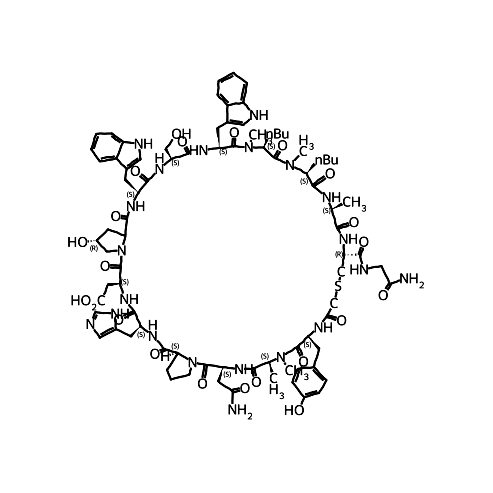 CCCC[C@H]1C(=O)N(C)[C@@H](CCCC)C(=O)N[C@@H](C)C(=O)N[C@H](C(=O)NCC(N)=O)CSCC(=O)N[C@@H](Cc2ccc(O)cc2)C(=O)N(C)[C@@H](C)C(=O)N[C@@H](CC(N)=O)C(=O)N2CCC[C@H]2C(=O)N[C@@H](Cc2cnc[nH]2)C(=O)N[C@@H](CC(=O)O)C(=O)N2C[C@H](O)CC2C(=O)N[C@@H](Cc2c[nH]c3ccccc23)C(=O)N[C@@H](CO)C(=O)N[C@@H](Cc2c[nH]c3ccccc23)C(=O)N1C